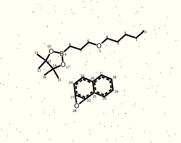 CCCCCOCCCB1OC(C)(C)C(C)(C)O1.c1ccc2c3c(ccc2c1)O3